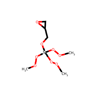 COO[Si](OCC1CO1)(OOC)OOC